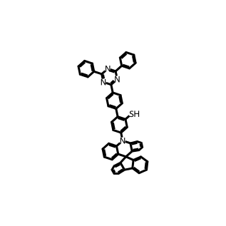 Sc1cc(N2c3ccccc3C3(c4ccccc4-c4ccccc43)c3ccccc32)ccc1-c1ccc(-c2nc(-c3ccccc3)nc(-c3ccccc3)n2)cc1